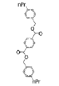 CCCc1ccc(COC(=O)c2ccc(C(=O)OCc3ccc(CCC)cc3)cc2)cc1